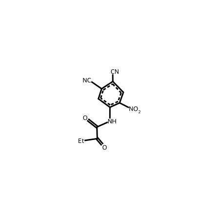 CCC(=O)C(=O)Nc1cc(C#N)c(C#N)cc1[N+](=O)[O-]